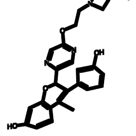 CC1=C(c2cccc(O)c2)C(c2cnc(OCCN3CC(CF)C3)cn2)Oc2cc(O)ccc21